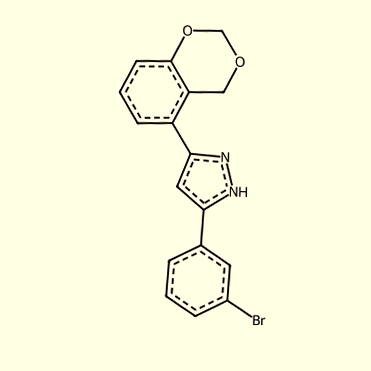 Brc1cccc(-c2cc(-c3cccc4c3COCO4)n[nH]2)c1